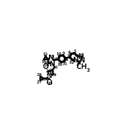 Cc1nnc2ccc(-c3ccc(C4=NC5(CC5)C(=O)N4CC4CN(C(=O)C5CC5)C4)cc3)cn12